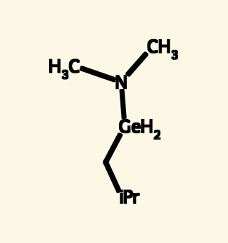 CC(C)[CH2][GeH2][N](C)C